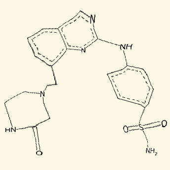 NS(=O)(=O)c1ccc(Nc2ncc3cccc(CN4CCNC(=O)C4)c3n2)cc1